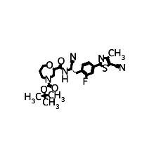 Cc1nc(-c2ccc(C[C@@H](C#N)NC(=O)C3CN(C(=O)OC(C)(C)C)CCCO3)c(F)c2)sc1C#N